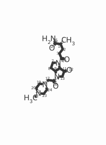 CC(C[CH]C(=O)N1CCC2C1C(=O)CN2C(=O)CN1CCN(C)CC1)C(N)=O